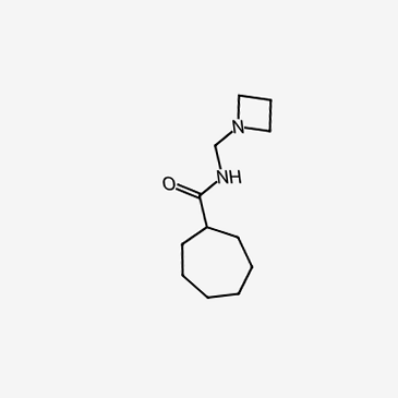 O=C(NCN1CCC1)C1CCCCCC1